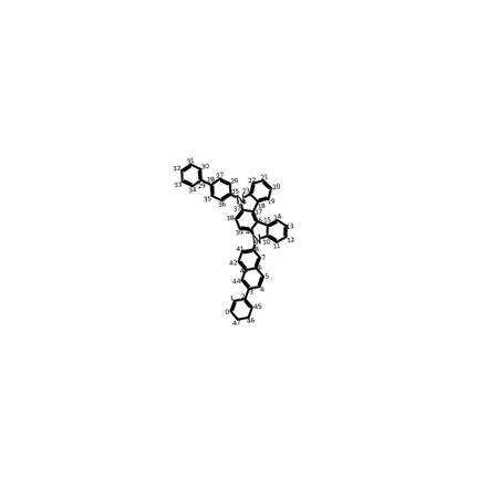 C1=CC(c2ccc3cc(-n4c5ccccc5c5c6c7ccccc7n(-c7ccc(-c8ccccc8)cc7)c6ccc54)ccc3c2)=CCC1